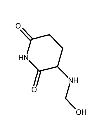 O=C1CCC(NCO)C(=O)N1